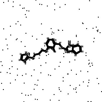 Cc1c(SCCCSc2ncc[nH]2)ccnc1CSc1nc2ccccc2[nH]1